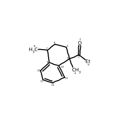 CCC(=O)C1(C)CCC(C)c2ccccc21